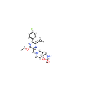 CCOc1nc(-c2ccc(F)cc2)c(C2CC2)nc1CN1CCC2(CC1)CNC(=O)O2